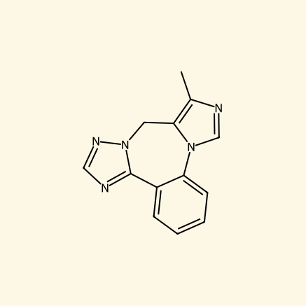 Cc1ncn2c1Cn1ncnc1-c1ccccc1-2